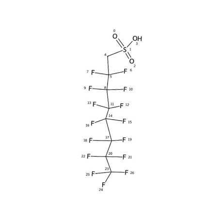 O=S(=O)(O)CC(F)(F)C(F)(F)C(F)(F)C(F)(F)C(F)(F)C(F)(F)C(F)(F)F